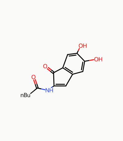 CCCCC(=O)NC1=Cc2cc(O)c(O)cc2C1=O